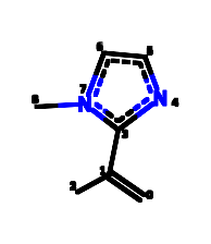 C=C(C)c1nccn1C